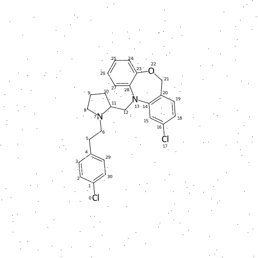 Clc1ccc(CCN2CCCC2CN2c3cc(Cl)ccc3COc3ccccc32)cc1